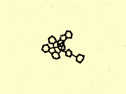 c1ccc(-c2ccc(N(c3ccc4sc5ccccc5c4c3)c3cccc4c3C3(c5ccccc5-c5ccccc53)c3ccccc3-4)cc2)cc1